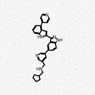 c1cc(-c2ccncc2)c2cc(-c3n[nH]c4ccc(-c5cncc(CNCC6CCCC6)c5)cc34)[nH]c2c1